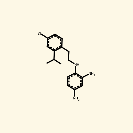 CC(C)c1cc(Cl)ccc1CCNc1ccc(N)cc1N